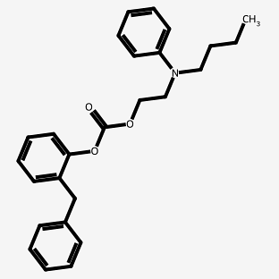 CCCCN(CCOC(=O)Oc1ccccc1Cc1ccccc1)c1ccccc1